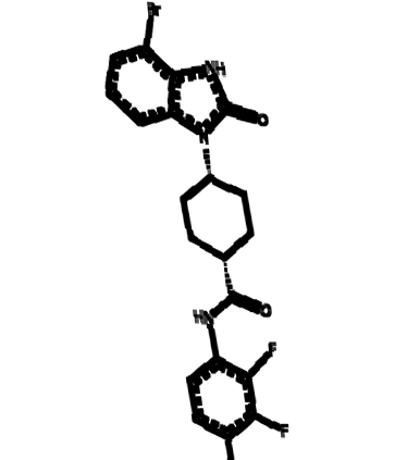 COc1ccc(NC(=O)[C@H]2CC[C@@H](n3c(=O)[nH]c4c(Br)cccc43)CC2)c(F)c1F